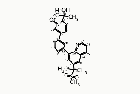 CC(C)(O)c1ccc(-c2cccc(-c3cc(C(C)(C)S(C)(=O)=O)cc4cccnc34)c2)c[n+]1[O-]